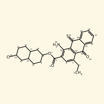 CCc1cc(C(=O)OC2CCC3CC(Cl)CCC3C2)c(N)c2c1C(=O)c1ccccc1C2=S